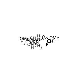 COc1c(F)cc(F)cc1Cn1cc(CNc2cc3c(c(C)n2)NC(=O)[C@H]([C@@H](C)OC)N3C)cn1